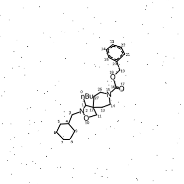 CCCCC1N(CC2CCCCC2)OCC12CCN(C(=O)OCc1ccccc1)CC2